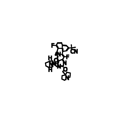 C#Cc1c(F)ccc2cc(C(C)(C)C#N)cc(-c3ncc4c(N5C[C@H]6CC[C@@H](C5)N6C(=O)C=C)nc(OCC56CCCN5CCC6)nc4c3F)c12